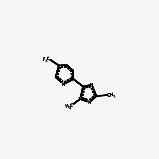 Cc1nc(-c2ccc(C(F)(F)F)cn2)n(C)n1